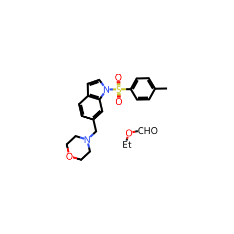 CCOC=O.Cc1ccc(S(=O)(=O)n2ccc3ccc(CN4CCOCC4)cc32)cc1